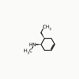 CC[C@H]1CC=CC[C@H]1NC